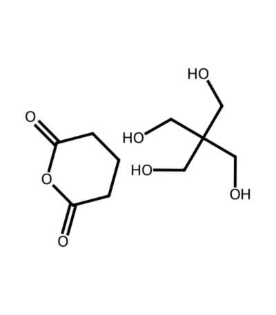 O=C1CCCC(=O)O1.OCC(CO)(CO)CO